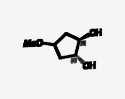 COC1C[C@@H](O)[C@H](O)C1